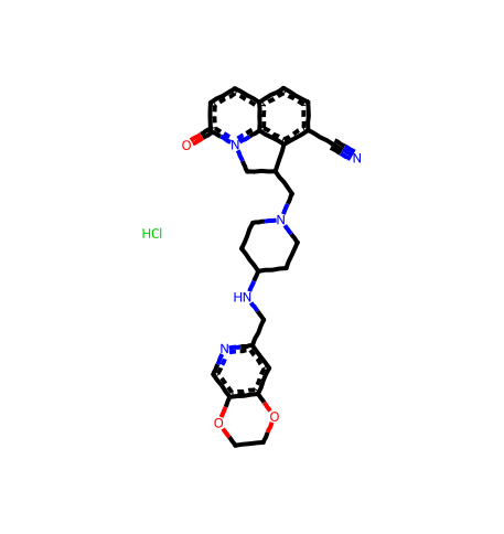 Cl.N#Cc1ccc2ccc(=O)n3c2c1C(CN1CCC(NCc2cc4c(cn2)OCCO4)CC1)C3